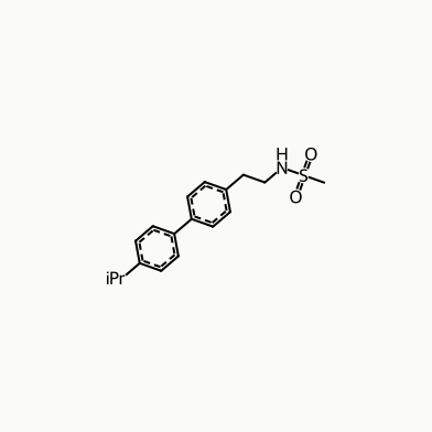 [CH2]C(C)c1ccc(-c2ccc(CCNS(C)(=O)=O)cc2)cc1